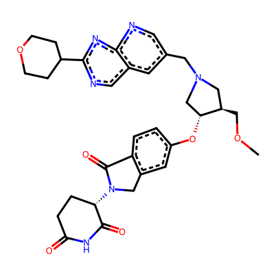 COC[C@@H]1CN(Cc2cnc3nc(C4CCOCC4)ncc3c2)C[C@H]1Oc1ccc2c(c1)CN([C@H]1CCC(=O)NC1=O)C2=O